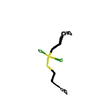 O=CCCSS(Cl)(Cl)CCC=O